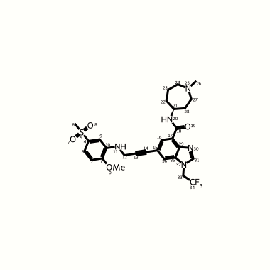 COc1ccc(S(C)(=O)=O)cc1NCC#Cc1cc(C(=O)N[C@H]2CCCN(C)CC2)c2ncn(CC(F)(F)F)c2c1